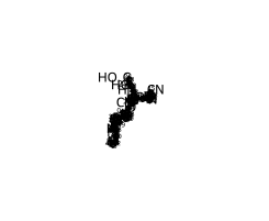 Cc1c(COc2cc(OCc3cncc(C#N)c3)c(CNC[C@@H](O)CC(=O)O)cc2Cl)cccc1-c1cccc(-n2cc(CN3CCCC3)nn2)c1C